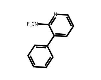 FC(F)(F)Nc1ncccc1-c1ccccc1